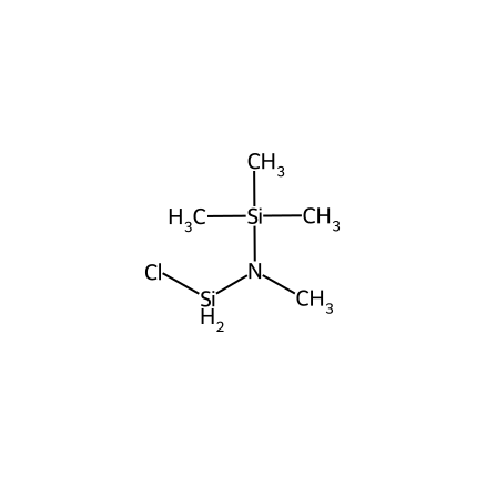 CN([SiH2]Cl)[Si](C)(C)C